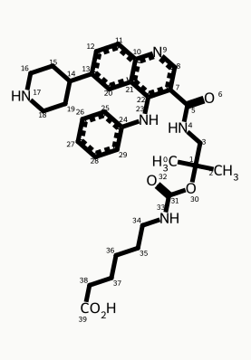 CC(C)(CNC(=O)c1cnc2ccc(C3CCNCC3)cc2c1Nc1ccccc1)OC(=O)NCCCCCC(=O)O